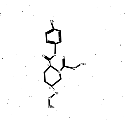 CCCCON[C@@H]1CC[C@@H](C(=O)Oc2ccc(C#N)cc2)N(C(=O)OC(C)(C)C)C1